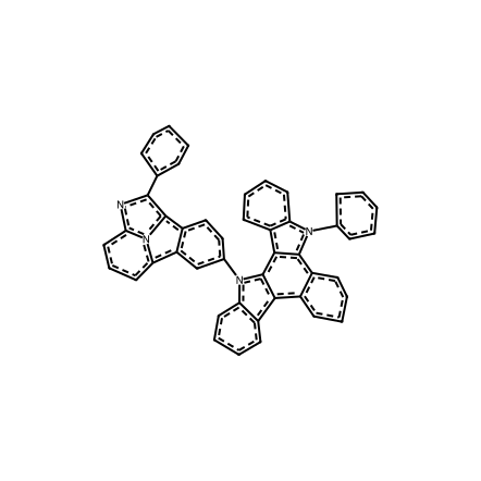 c1ccc(-c2nc3cccc4c5cc(-n6c7ccccc7c7c8ccccc8c8c(c9ccccc9n8-c8ccccc8)c76)ccc5c2n34)cc1